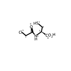 O=C(CCl)N[C@@H](CS)C(=O)O